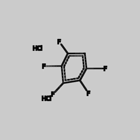 Cl.Cl.Fc1cc(F)c(F)c(F)c1F